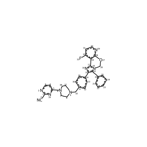 N#Cc1nccc(N2CCN(Cc3ccc(-c4nc5n(c4-c4ccccc4)COc4nccc(F)c4-5)cc3)CC2)n1